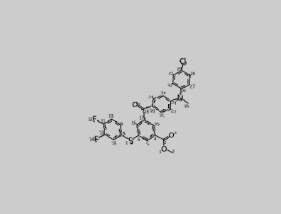 COC(=O)c1cc(Sc2ccc(F)c(F)c2)cc(C(=O)c2ccc(N(C)c3ccc(Cl)cc3)cc2)c1